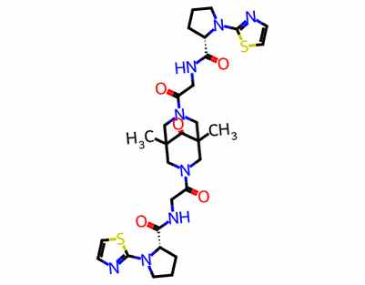 CC12CN(C(=O)CNC(=O)[C@@H]3CCCN3c3nccs3)CC(C)(CN(C(=O)CNC(=O)[C@@H]3CCCN3c3nccs3)C1)C2=O